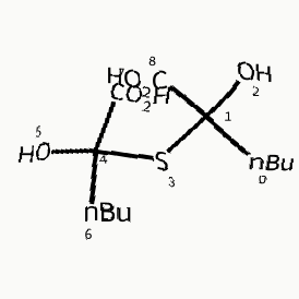 CCCCC(O)(SC(O)(CCCC)C(=O)O)C(=O)O